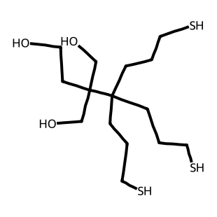 OCCC(CO)(CO)C(CCCS)(CCCS)CCCS